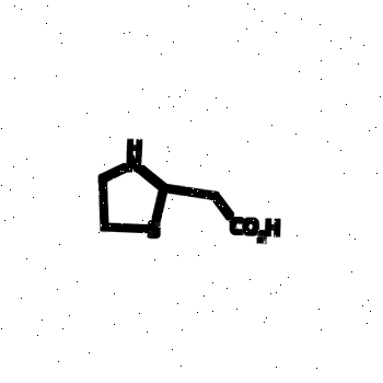 O=C(O)CC1NCCS1